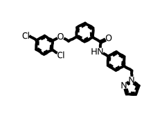 O=C(Nc1ccc(Cn2cccn2)cc1)c1cccc(COc2cc(Cl)ccc2Cl)c1